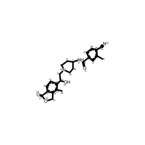 Cc1cc(C(=O)NC2CCN(CC(O)c3ccc4c(c3C)COC4=O)CC2)ccc1C#N